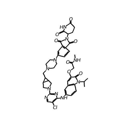 CNC(=O)COc1cc2cc(Nc3nc(N4CC5C(CN6CCN(c7ccc8c(c7)C(=O)N(C7CCC(=O)NC7=O)C8=O)CC6)C5C4)ncc3Cl)ccc2n(C(C)C)c1=O